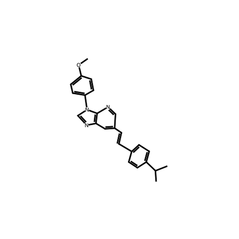 COc1ccc(-n2cnc3cc(C=Cc4ccc(C(C)C)cc4)cnc32)cc1